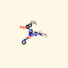 C=CC(=O)N1CCN(c2nc(OCCCN3CCCCC3)nc3c2CCN(c2cc(O)cc4cc(C)ccc24)C3)CC1